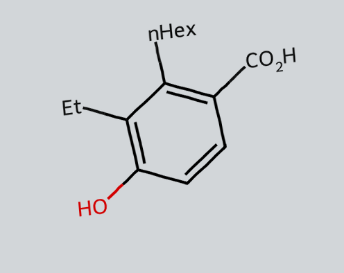 CCCCCCc1c(C(=O)O)ccc(O)c1CC